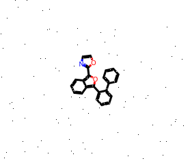 c1ccc(-c2ccccc2-c2oc(-c3ncco3)c3ccccc23)cc1